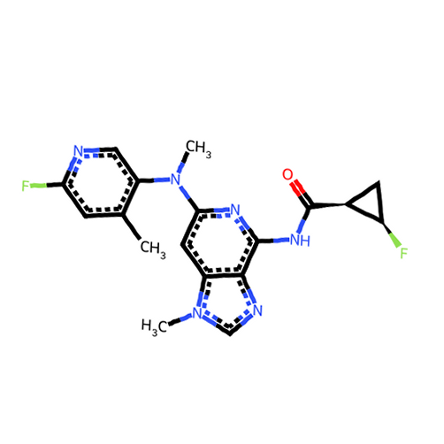 Cc1cc(F)ncc1N(C)c1cc2c(ncn2C)c(NC(=O)[C@H]2C[C@H]2F)n1